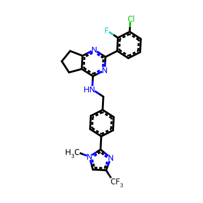 Cn1cc(C(F)(F)F)nc1-c1ccc(CNc2nc(-c3cccc(Cl)c3F)nc3c2CCC3)cc1